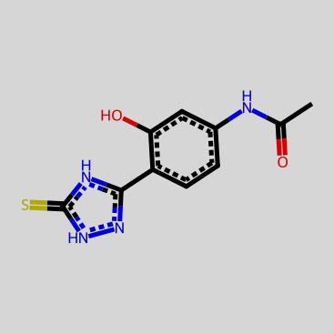 CC(=O)Nc1ccc(-c2n[nH]c(=S)[nH]2)c(O)c1